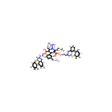 CC1=C(C(=O)OCCCN(CCSc2ccccc2)Cc2ccccc2)C(c2cccc([N+](=O)[O-])c2)C(C(=O)OCCCN(CCSc2ccccc2)Cc2ccccc2)=C(C)N1